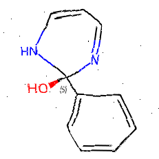 O[C@]1(c2ccccc2)N=CC=CN1